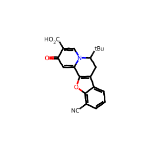 CC(C)(C)C1Cc2c(oc3c(C#N)cccc23)-c2cc(=O)c(C(=O)O)cn21